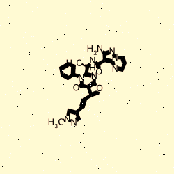 C[C@@H](NC(=O)c1c(N)nn2cccnc12)c1nc2occ(C#Cc3cnn(C)c3)c2c(=O)n1-c1ccccc1